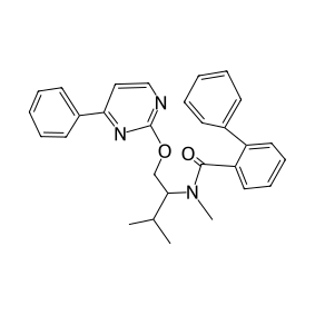 CC(C)C(COc1nccc(-c2ccccc2)n1)N(C)C(=O)c1ccccc1-c1ccccc1